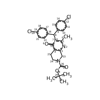 Cc1nc2c(c(=O)n1C(c1ccc(Cl)cc1)c1ccc(Cl)cc1)CCN(C(=O)OC(C)(C)C)C2